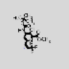 COC(=O)c1nc(/C=C\C(F)(F)F)cc(NC(=O)OC(C)(C)C)c1Cl